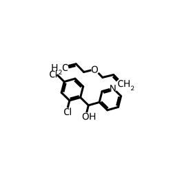 C=CCOCC=C.OC(c1cccnc1)c1ccc(Cl)cc1Cl